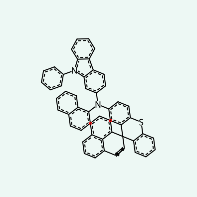 c1ccc(-n2c3ccccc3c3ccc(N(c4ccc5c(c4)C4(c6ccccc6S5)c5ccccc5-c5cccc6cccc4c56)c4cccc5ccccc45)cc32)cc1